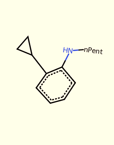 CCCCCNc1ccccc1C1CC1